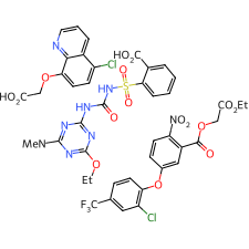 CCOC(=O)COC(=O)c1cc(Oc2ccc(C(F)(F)F)cc2Cl)ccc1[N+](=O)[O-].CCOc1nc(NC)nc(NC(=O)NS(=O)(=O)c2ccccc2C(=O)O)n1.O=C(O)COc1ccc(Cl)c2cccnc12